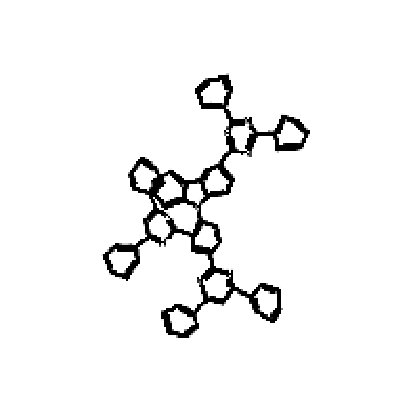 c1ccc(-c2cc(-c3ccccc3)nc(-c3ccc(-n4c5ccccc5c5cc(-c6nc(-c7ccccc7)nc(-c7ccccc7)n6)ccc54)c(-c4nc(-c5ccccc5)cc(-c5ccccc5)n4)c3)n2)cc1